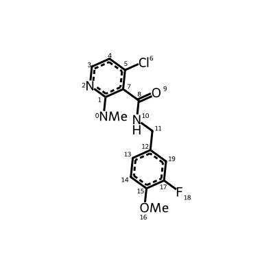 CNc1nccc(Cl)c1C(=O)NCc1ccc(OC)c(F)c1